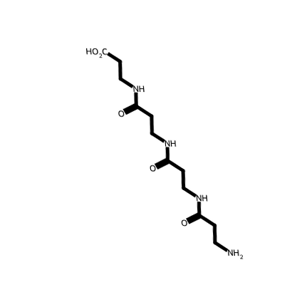 NCCC(=O)NCCC(=O)NCCC(=O)NCCC(=O)O